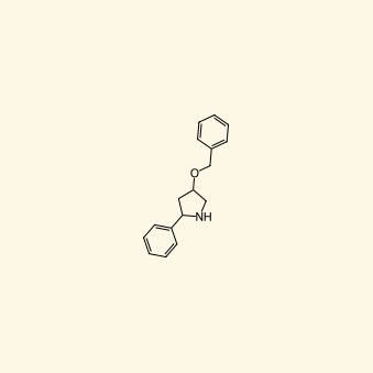 c1ccc(COC2CNC(c3ccccc3)C2)cc1